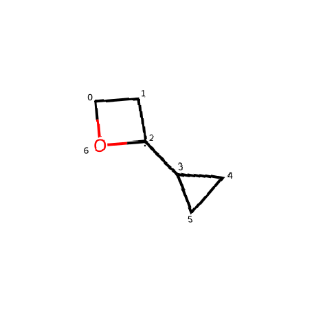 C1C[C](C2CC2)O1